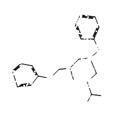 CC(CCN(Cc1ccccc1)CC(O)COc1ccccc1)C(=O)O